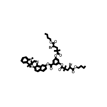 CCCCOC(=O)C(Br)CC(C)(C)C(=O)Oc1cc(OC(=O)C(C)(C)CC(Br)C(=O)OCCCC)cc(C(=O)Oc2ccc3ccc4c(c3c2)N=CC2(O4)N(C)c3ccccc3C2(C)C)c1